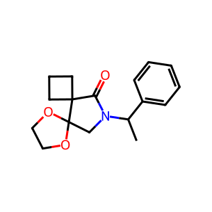 CC(c1ccccc1)N1CC2(OCCO2)C2(CCC2)C1=O